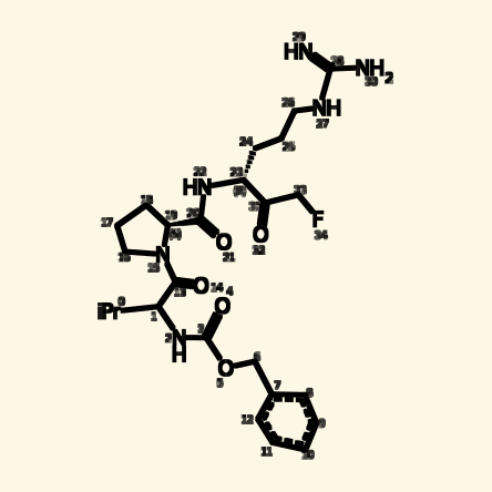 CC(C)C(NC(=O)OCc1ccccc1)C(=O)N1CCC[C@H]1C(=O)N[C@H](CCCNC(=N)N)C(=O)CF